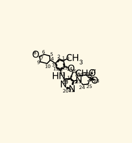 Cc1cc(C2CCC(=O)CC2)cc2c1O[C@H](C)c1c(ncnc1N1CCS(=O)(=O)CC1)N2